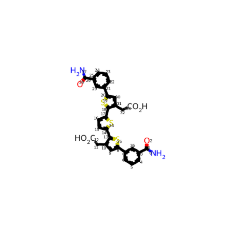 NC(=O)c1cccc(-c2cc(CC(=O)O)c(-c3ccc(-c4sc(-c5cccc(C(N)=O)c5)cc4CC(=O)O)s3)s2)c1